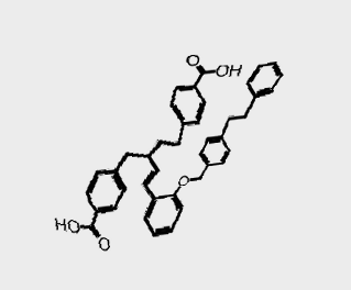 O=C(O)c1ccc(CCC(C=Cc2ccccc2OCc2ccc(CCc3ccccc3)cc2)Cc2ccc(C(=O)O)cc2)cc1